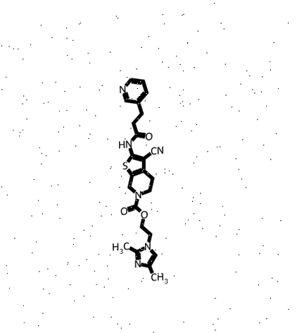 Cc1cn(CCOC(=O)N2CCc3c(sc(NC(=O)CCc4cccnc4)c3C#N)C2)c(C)n1